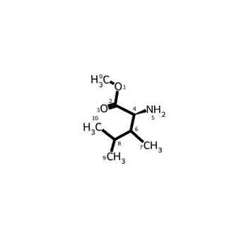 COC(=O)[C@@H](N)C(C)C(C)C